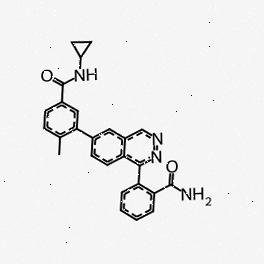 Cc1ccc(C(=O)NC2CC2)cc1-c1ccc2c(-c3ccccc3C(N)=O)nncc2c1